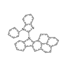 c1ccc(-n2c(-n3c4ccccc4c4cc5ccc6cccc7ccc(c5c67)c43)nc3ccccc32)cc1